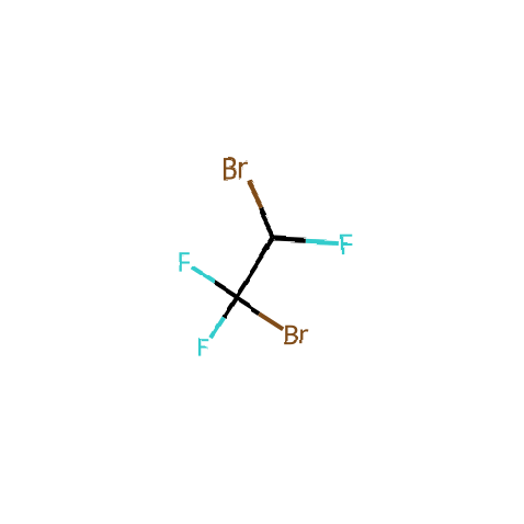 FC(Br)C(F)(F)Br